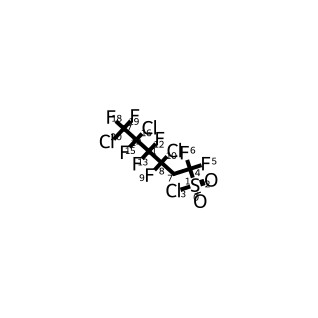 O=S(=O)(Cl)C(F)(F)CC(F)(Cl)C(F)(F)C(F)(Cl)C(F)(F)Cl